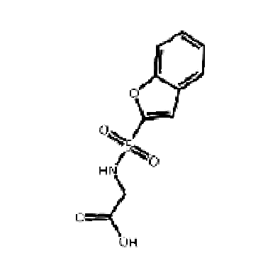 O=C(O)CNS(=O)(=O)c1cc2ccccc2o1